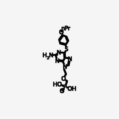 CCCOc1ccc(Sc2nc(N)nc3c2ncn3CCOCP(=O)(O)O)cc1